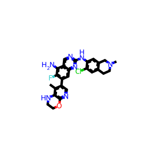 Cc1c(-c2cc3nc(Nc4cc5c(cc4Cl)CCN(C)C5)ncc3c(N)c2F)cnc2c1NCCO2